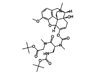 COc1ccc2c3c1O[C@H]1C(OC(=O)N(C)[C@@H](CNC(=O)OC(C)(C)C)C(=O)N(C)CC(=O)OC(C)(C)C)=CC[C@@]4(O)[C@@H](C2)N(C)CC[C@]314